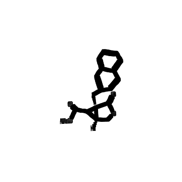 COC(=O)C1[C@@H]2COC(=O)[C@]12Cc1ccc2ccccc2c1